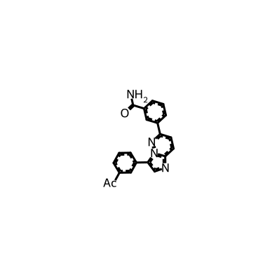 CC(=O)c1cccc(-c2cnc3ccc(-c4cccc(C(N)=O)c4)nn23)c1